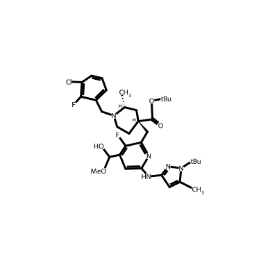 COC(O)c1cc(Nc2cc(C)n(C(C)(C)C)n2)nc(C[C@@]2(C(=O)OC(C)(C)C)CCN(Cc3cccc(Cl)c3F)[C@H](C)C2)c1F